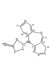 O=C1CCC(N2C3=CC=CCC3=CCc3ccccc32)C1